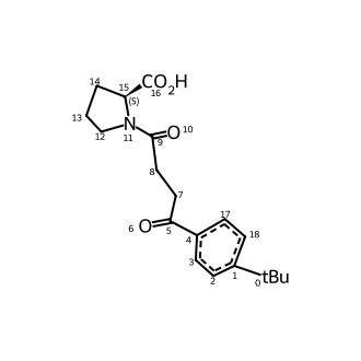 CC(C)(C)c1ccc(C(=O)CCC(=O)N2CCC[C@H]2C(=O)O)cc1